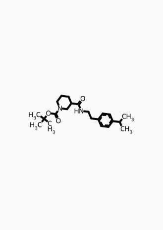 CC(C)c1ccc(CCNC(=O)C2CCCN(C(=O)OC(C)(C)C)C2)cc1